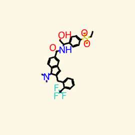 CCS(=O)(=O)c1ccc(C(CO)NC(=O)c2ccc3c(c2)C=C(Cc2ccccc2C(F)(F)F)C3N(C)C)cc1